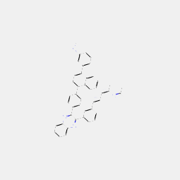 CNc1cccc(-c2ccc(-c3ccc(-c4nc5ccccc5nc4-c4cccc(/C=C/C=C(/C)N=C(C)C)c4)cc3)c3ccccc23)c1